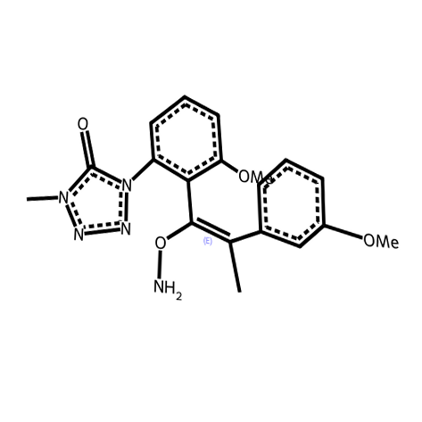 COc1cccc(/C(C)=C(/ON)c2c(OC)cccc2-n2nnn(C)c2=O)c1